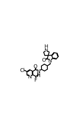 O=C(NC1CCC(CN2C(=O)C3(CCNC3)c3ccccc32)CC1)c1cc(Cl)cnc1C(F)F